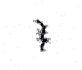 Nc1c(/N=N/c2cc(/N=N/c3c(S(=O)(=O)O)cc4cc(S(=O)(=O)O)c(/N=N/c5ccc(S(=O)(=O)CCOS(=O)(=O)O)cc5)c(N)c4c3O)c(S(=O)(=O)O)cc2S(=O)(=O)O)cc(S(=O)(=O)O)c(N)c1/N=N/c1ccc(S(=O)(=O)CCOS(=O)(=O)O)cc1